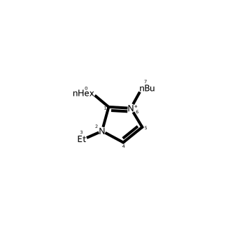 CCCCCCc1n(CC)cc[n+]1CCCC